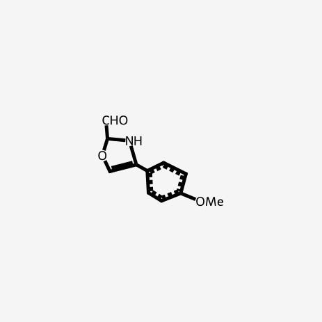 COc1ccc(C2=COC(C=O)N2)cc1